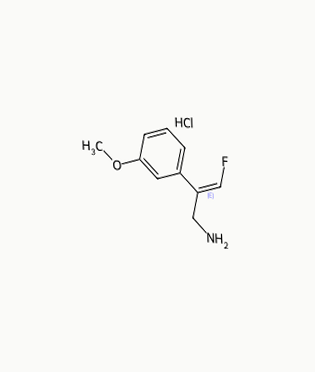 COc1cccc(/C(=C\F)CN)c1.Cl